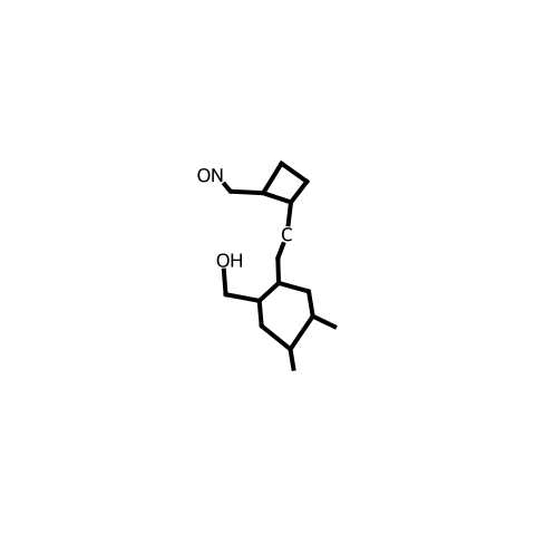 CC1CC(CO)C(CCC2CCC2CN=O)CC1C